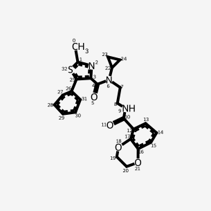 Cc1nc(C(=O)N(CCNC(=O)c2cccc3c2OCCO3)C2CC2)c(-c2ccccc2)s1